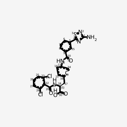 Nc1nsc(-c2cccc(C(=O)Nc3ccc(C[C@H](NC(=O)c4c(Cl)cccc4Cl)C(=O)O)cc3)c2)n1